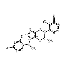 Cc1cc(F)ccc1[C@H](C)n1nnc2c1C[C@@H](C)N(c1cn[nH]c(=O)c1Cl)C2